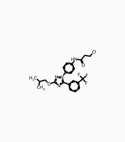 CC(C)COc1nc(-c2cccc(C(F)(F)F)c2)n(-c2ccc(NC(=O)CCCl)cc2)n1